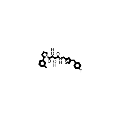 Cc1cccc(C2CCCN2C(=O)[C@H](O)[C@@H](O)C(=O)NCc2cc(Cc3ccc(F)cc3)cs2)c1